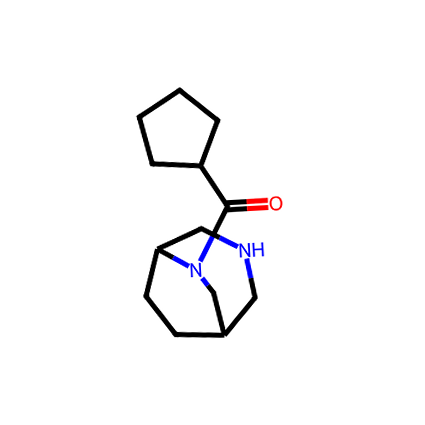 O=C(C1CCCC1)N1CC2CCC1CNC2